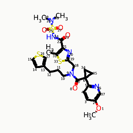 COc1ccc(C2(C(=O)N(CCCc3ccsc3)Cc3nc(C(=O)NS(=O)(=O)N(C)C)c(C)s3)CC2)nc1